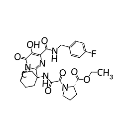 CCOC(=O)[C@@H]1CCCN1C(=O)C(=O)NC12CCC(CC1)Cn1c2nc(C(=O)NCc2ccc(F)cc2)c(O)c1=O